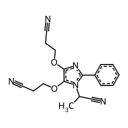 CC(C#N)n1c(-c2ccccc2)nc(OCCC#N)c1OCCC#N